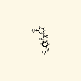 NC1CCCN(C(=O)Nc2ccc(OC(F)(F)F)cc2)C1